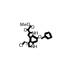 COC(=O)C(=O)c1cc2c3c(cc(OCc4ccccc4)c2[nH]1)NC[C@H]3CCl